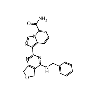 NC(=O)c1cccc2c(-c3nc4c(c(NCc5ccccc5)n3)COC4)ncn12